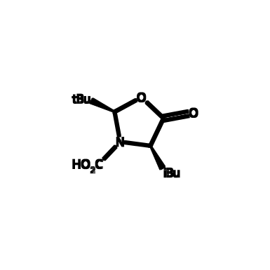 CCC(C)[C@@H]1C(=O)O[C@H](C(C)(C)C)N1C(=O)O